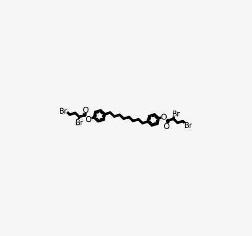 O=C(Oc1ccc(CCCCCCCCc2ccc(OC(=O)C(Br)CCBr)cc2)cc1)C(Br)CCBr